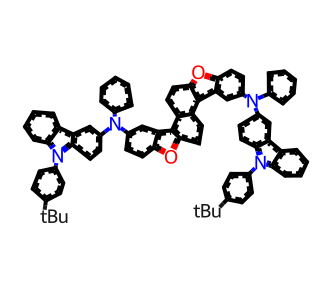 CC(C)(C)c1ccc(-n2c3ccccc3c3cc(N(c4ccccc4)c4ccc5oc6ccc7c(ccc8oc9ccc(N(c%10ccccc%10)c%10ccc%11c(c%10)c%10ccccc%10n%11-c%10ccc(C(C)(C)C)cc%10)cc9c87)c6c5c4)ccc32)cc1